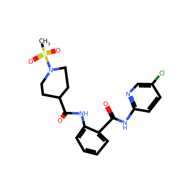 CS(=O)(=O)N1CCC(C(=O)Nc2ccccc2C(=O)Nc2ccc(Cl)cn2)CC1